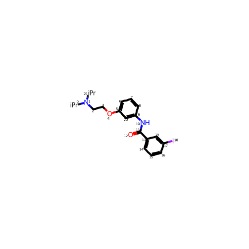 CC(C)N(CCOc1cccc(NC(=O)c2cccc(I)c2)c1)C(C)C